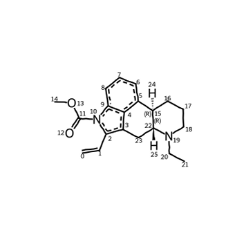 C=Cc1c2c3c(cccc3n1C(=O)OC)[C@H]1CCCN(CC)[C@@H]1C2